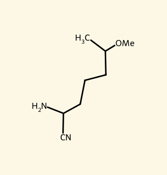 COC(C)CCCC(N)C#N